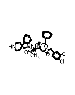 CS(=O)(=O)[N+]1(NC(=O)C(CS(=O)(=O)Cc2ccc(Cl)c(Cl)c2)NCc2ccccc2)CC2(CCNCC2)c2ccccc21